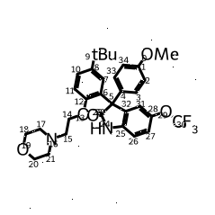 COc1ccc(C2(c3cc(C(C)(C)C)ccc3OCCN3CCOCC3)C(=O)Nc3ccc(OC(F)(F)F)cc32)cc1